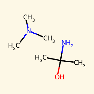 CC(C)(N)O.CN(C)C